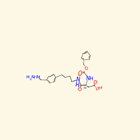 NN=Cc1ccc(CCCCNC(=O)[C@H](CC(=O)O)NC(=O)OCc2ccccc2)cc1